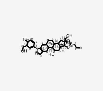 CCC[C@H]1O[C@@H]2C[C@H]3[C@@H]4CCC5=Cc6c(cnn6-c6ccc(F)c(CO)c6)C[C@]5(C)[C@H]4[C@@H](O)C[C@]3(C)[C@]2(C(=O)CO)O1